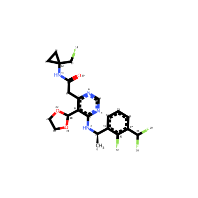 C[C@@H](Nc1ncnc(CC(=O)NC2(CF)CC2)c1C1OCCO1)c1cccc(C(F)F)c1F